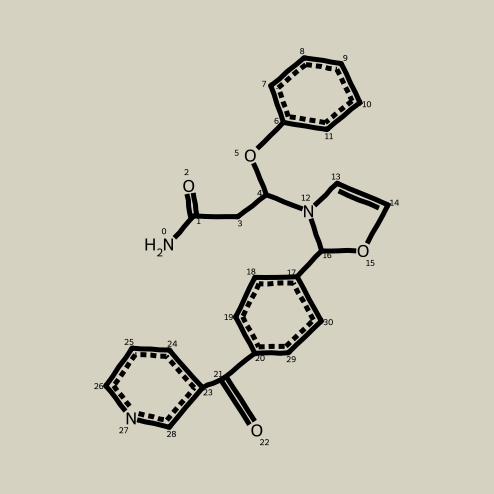 NC(=O)CC(Oc1ccccc1)N1C=COC1c1ccc(C(=O)c2cccnc2)cc1